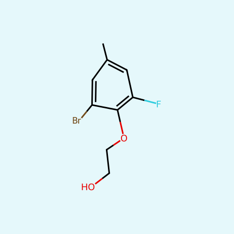 Cc1cc(F)c(OCCO)c(Br)c1